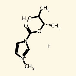 CC(C)[C@H](C)OC(=O)n1cc[n+](C)c1.[I-]